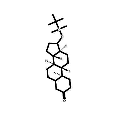 CC(C)(C)[Si](C)(C)OC1CC[C@H]2[C@@H]3CCC4CC(=O)CC[C@]4(C)[C@H]3CC[C@]12C